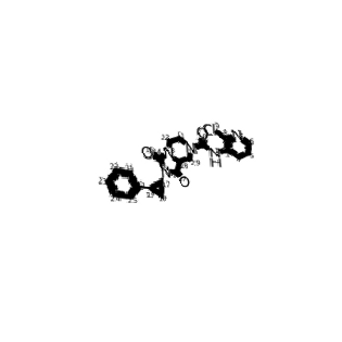 O=C(Nc1cccnc1Cl)N1CCN2C(=O)N([C@@H]3C[C@H]3c3ccccc3)C(=O)C2C1